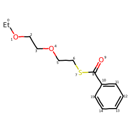 [CH2]COCCOCCSC(=O)c1ccccc1